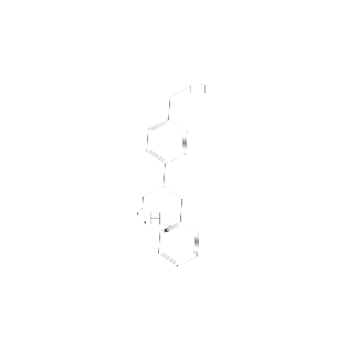 CC(C)Cc1ccc(C(CN)Cc2ccccc2)cc1